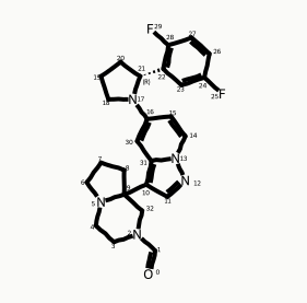 O=CN1CCN2CCCC2(c2cnn3ccc(N4CCC[C@@H]4c4cc(F)ccc4F)cc23)C1